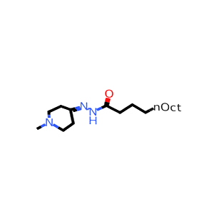 CCCCCCCCCCCC(=O)NN=C1CCN(C)CC1